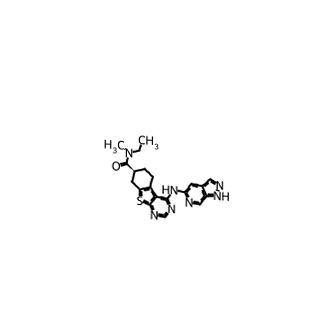 CCN(C)C(=O)[C@H]1CCc2c(sc3ncnc(Nc4cc5cn[nH]c5cn4)c23)C1